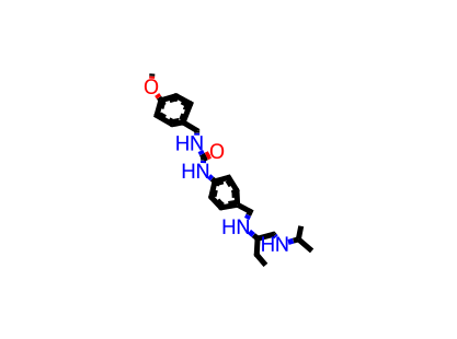 CCC(CNC(C)C)NCc1ccc(NC(=O)NCc2ccc(OC)cc2)cc1